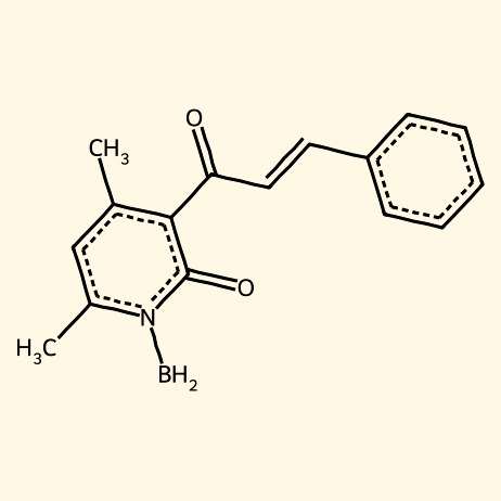 Bn1c(C)cc(C)c(C(=O)/C=C/c2ccccc2)c1=O